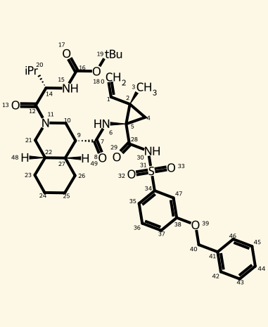 C=C[C@]1(C)C[C@]1(NC(=O)[C@H]1CN(C(=O)[C@@H](NC(=O)OC(C)(C)C)C(C)C)C[C@H]2CCCC[C@H]21)C(=O)NS(=O)(=O)c1cccc(OCc2ccccc2)c1